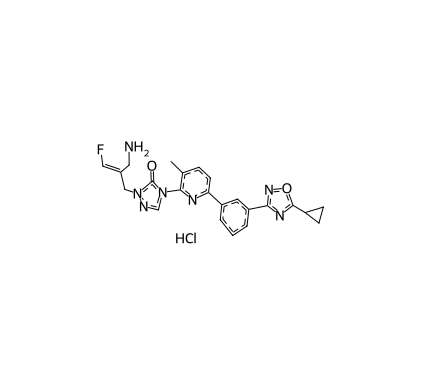 Cc1ccc(-c2cccc(-c3noc(C4CC4)n3)c2)nc1-n1cnn(C/C(=C/F)CN)c1=O.Cl